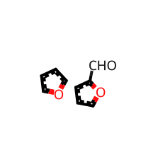 O=Cc1ccco1.c1ccoc1